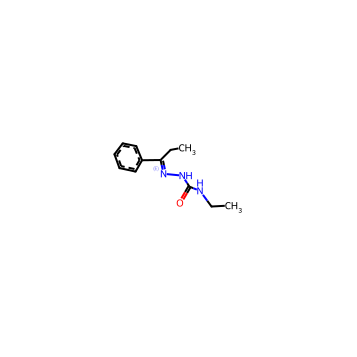 CCNC(=O)N/N=C(\CC)c1ccccc1